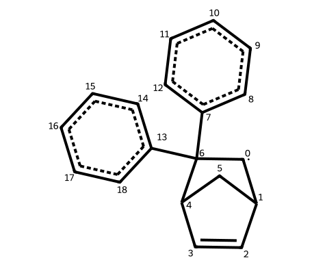 [CH]1C2C=CC(C2)C1(c1ccccc1)c1ccccc1